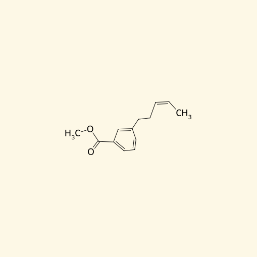 C/C=C\CCc1cccc(C(=O)OC)c1